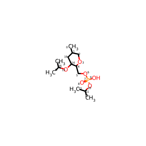 CC1COC(COP(=O)(O)OC(C)C)C(OC(C)C)C1